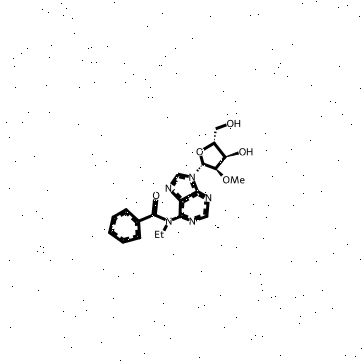 CCN(C(=O)c1ccccc1)c1ncnc2c1ncn2[C@@H]1O[C@H](CO)[C@@H](O)[C@H]1OC